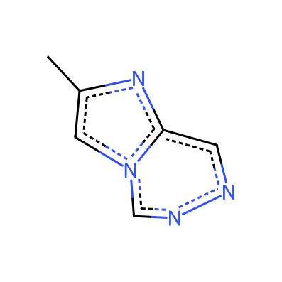 Cc1cn2cnncc2n1